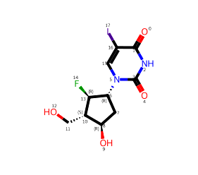 O=c1[nH]c(=O)n([C@@H]2C[C@@H](O)[C@H](CO)[C@H]2F)cc1I